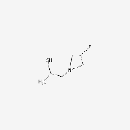 C[C@H](S)CN1CC(F)C1